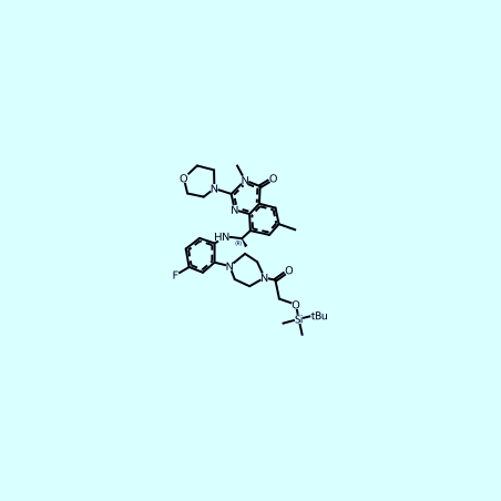 Cc1cc([C@@H](C)Nc2ccc(F)cc2N2CCN(C(=O)CO[Si](C)(C)C(C)(C)C)CC2)c2nc(N3CCOCC3)n(C)c(=O)c2c1